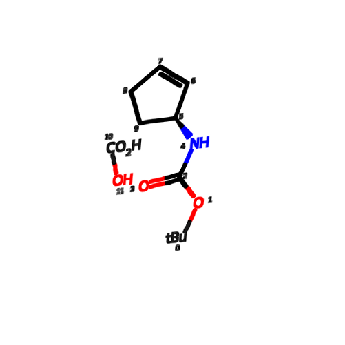 CC(C)(C)OC(=O)N[C@@H]1C=CCC1.O=C(O)O